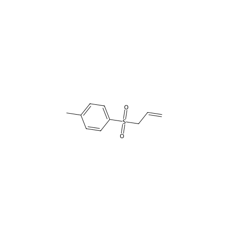 C=CCS(=O)(=O)c1ccc(C)cc1